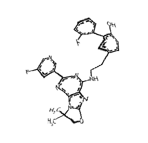 CC1(C)COc2nc3c(NCCc4ccc(O)c(-c5ccccc5F)c4)nc(-c4cncc(F)c4)nc3n21